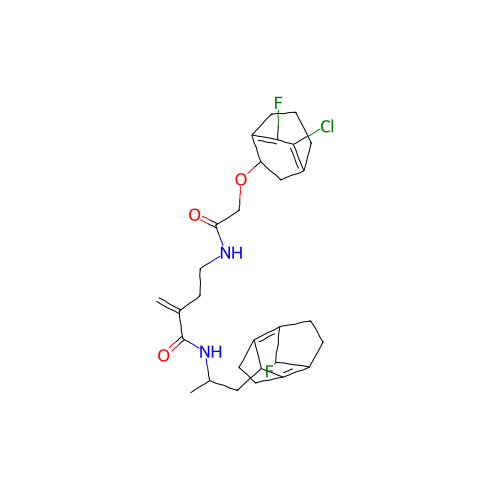 C=C(CCNC(=O)COC1CC2=C(Cl)C(F)=C1CCC2)C(=O)NC(C)CC1C2=C3CCC(=C1CC2)C3F